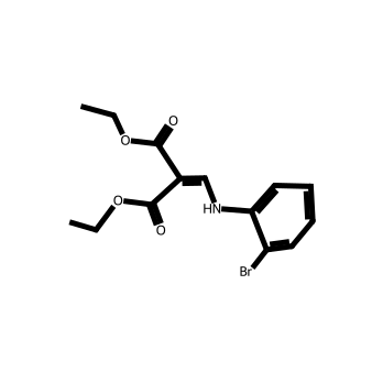 CCOC(=O)C(=CNc1ccccc1Br)C(=O)OCC